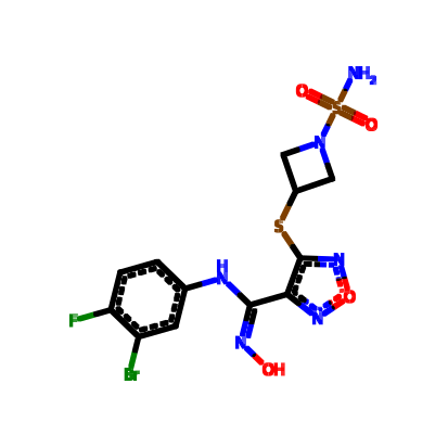 NS(=O)(=O)N1CC(Sc2nonc2C(=NO)Nc2ccc(F)c(Br)c2)C1